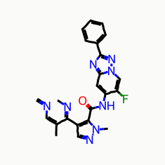 C=N/C=C(C)\C(=N/C)c1cnn(C)c1C(=O)Nc1cc2nc(-c3ccccc3)nn2cc1F